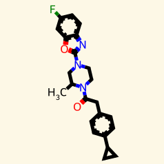 CC1CN(c2nc3ccc(F)cc3o2)CCN1C(=O)Cc1ccc(C2CC2)cc1